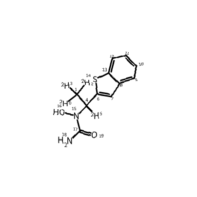 [2H]C([2H])([2H])C([2H])(c1cc2ccccc2s1)N(O)C(N)=O